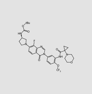 CC(C)(C)OC(=O)N[C@@H]1CCN(c2ccc3c(=O)n(-c4ccc(OC(F)(F)F)c(NC(=O)C5(N6CCOCC6)CC5)c4)cnc3c2F)C1